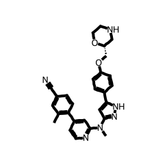 Cc1cc(C#N)ccc1-c1ccnc(N(C)c2cc(-c3ccc(OC[C@H]4CNCCO4)cc3)[nH]n2)c1